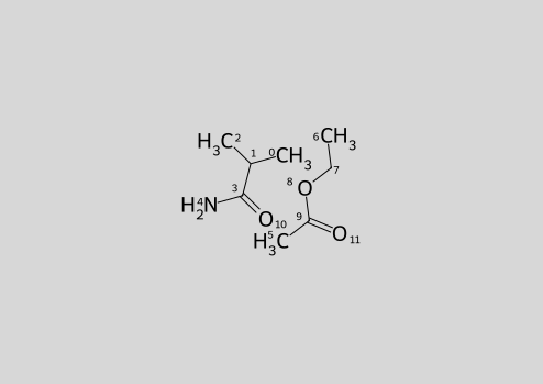 CC(C)C(N)=O.CCOC(C)=O